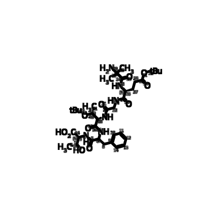 C[C@@H](O)[C@H](NC(=O)[C@H](Cc1ccccc1)NC(=O)[C@@H](NC(=O)CNC(=O)[C@H](CCC(=O)OC(C)(C)C)NC(=O)C(C)(C)N)[C@@H](C)OC(C)(C)C)C(=O)O